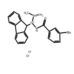 C[SiH](C)[Ti+2]([NH]C(=O)c1cccc(C(C)(C)C)c1)[CH]1c2ccccc2-c2ccccc21.[Cl-].[Cl-]